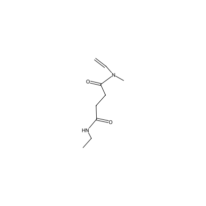 C=CN(C)C(=O)CCC(=O)NCC